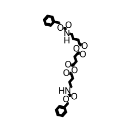 O=C(CCCNC(=O)OCc1ccccc1)OC(=O)CCC(=O)OC(=O)CCCNC(=O)OCc1ccccc1